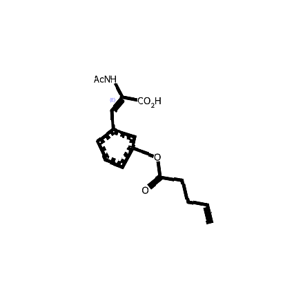 C=CCCC(=O)Oc1cccc(/C=C(/NC(C)=O)C(=O)O)c1